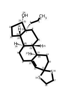 CCC[C@]12CC[C@H]3[C@@H](CCC4=CC5(CC[C@@H]43)SCCS5)[C@@H]1CC[C@@H]2O